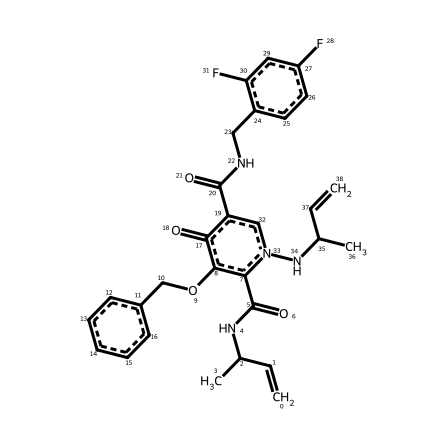 C=CC(C)NC(=O)c1c(OCc2ccccc2)c(=O)c(C(=O)NCc2ccc(F)cc2F)cn1NC(C)C=C